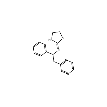 c1ccc(C(Cc2cnccn2)/N=C2\NCCS2)cc1